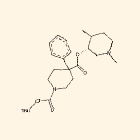 CC1CCN(C)C[C@@H]1OC(=O)C1(c2ccccc2)CCN(C(=O)OC(C)(C)C)CC1